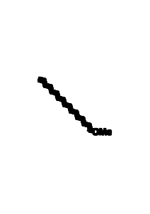 C=CCCCCCCCCCCCCCC[CH]OC